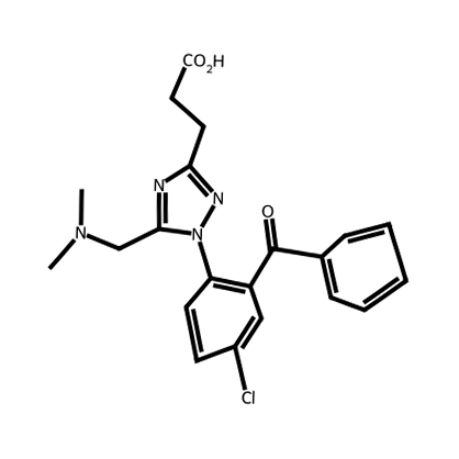 CN(C)Cc1nc(CCC(=O)O)nn1-c1ccc(Cl)cc1C(=O)c1ccccc1